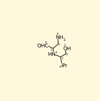 CC(C)C(CO)NC(C=O)CN